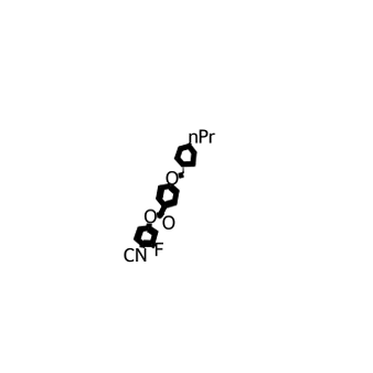 CCC[C@H]1CC[C@H](COc2ccc(C(=O)Oc3ccc(C#N)c(F)c3)cc2)CC1